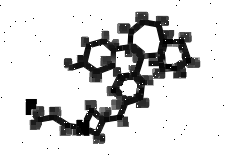 CC1CCC(C2=C(c3ccc(CC4CN(CCCF)C4)cc3)c3ccccc3CCC2)CC1